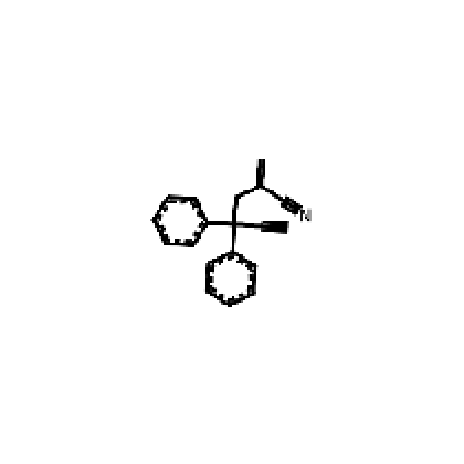 C#CC(CC(=C)C#N)(c1ccccc1)c1ccccc1